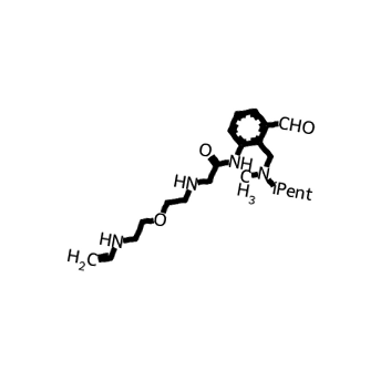 C=CNCCOCCNCC(=O)Nc1cccc(C=O)c1CN(C)C(C)CCC